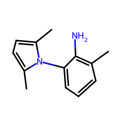 Cc1cccc(-n2c(C)ccc2C)c1N